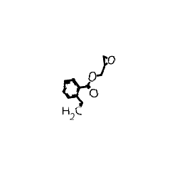 C=Cc1ccccc1C(=O)OCC1CO1